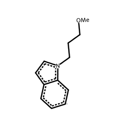 COCCCn1ccc2cc[c]cc21